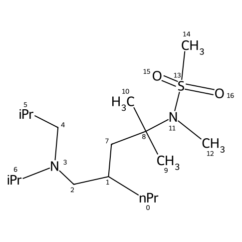 CCCC(CN(CC(C)C)C(C)C)CC(C)(C)N(C)S(C)(=O)=O